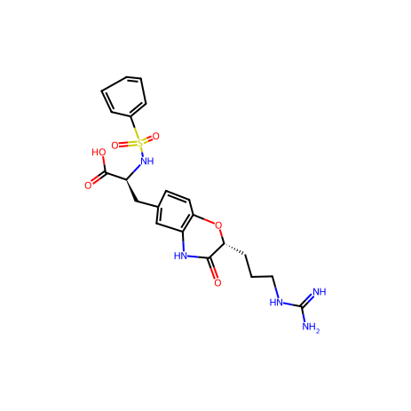 N=C(N)NCCC[C@H]1Oc2ccc(C[C@H](NS(=O)(=O)c3ccccc3)C(=O)O)cc2NC1=O